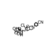 CC(C)(CO)[C@@H](O)C(=O)NCCN(CC1CCN(c2ccc(C#N)cc2)CC1)C(=O)CCl